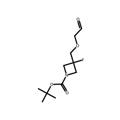 CC(C)(C)OC(=O)N1CC(F)(COCC=O)C1